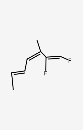 C/C=C/C=C(C)\C(F)=C\F